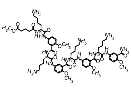 COC(=O)CCCC(=O)N[C@@H](CCCCN)C(=O)Nc1ccc(OC)c(C(=O)N[C@@H](CCCCN)C(=O)Nc2ccc(OC)c(C(=O)N[C@@H](CCCCN)C(=O)Nc3ccc(OC)c(C(=O)N[C@@H](CCCCN)C(=O)Nc4ccc(OC)c(C(N)=O)c4)c3)c2)c1